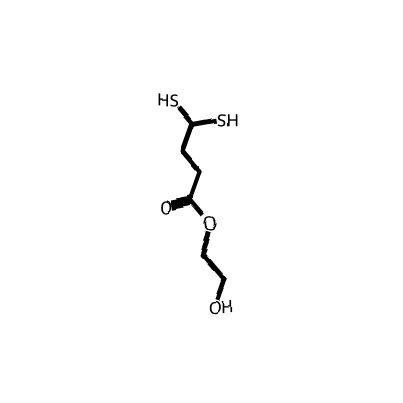 O=C(CCC(S)S)OCCO